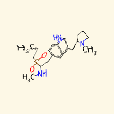 C=CCS(=O)(=O)C(Cc1ccc2[nH]cc(C[C@H]3CCCN3C)c2c1)NC